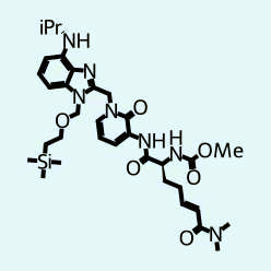 COC(=O)N[C@@H](CC/C=C/C(=O)N(C)C)C(=O)Nc1cccn(Cc2nc3c(NC(C)C)cccc3n2COCC[Si](C)(C)C)c1=O